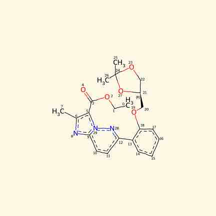 CCOC(=O)c1c(C)nc2ccc(-c3ccccc3OC[C@@H]3COC(C)(C)O3)nn12